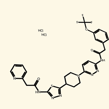 Cl.Cl.O=C(Cc1cccc(OC(F)(F)F)c1)Nc1ccc(N2CCC(c3nnc(NC(=O)Cc4ccccn4)s3)CC2)nn1